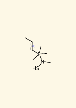 C/C=C/P(C)(C)(C)N(C)S